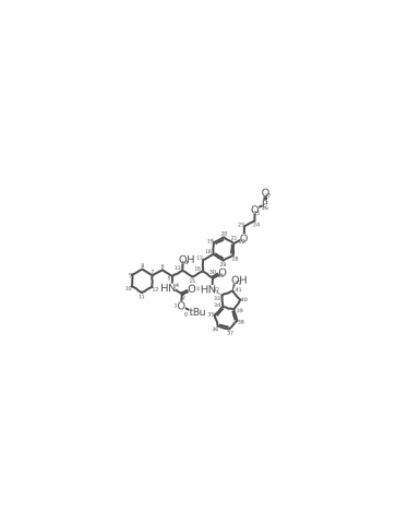 CC(C)(C)OC(=O)NC(CC1CCCCC1)C(O)CC(Cc1ccc(OCCOP=O)cc1)C(=O)N[C@H]1c2ccccc2C[C@@H]1O